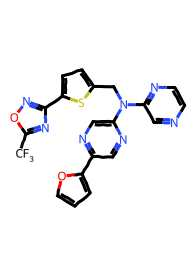 FC(F)(F)c1nc(-c2ccc(CN(c3cnccn3)c3cnc(-c4ccco4)cn3)s2)no1